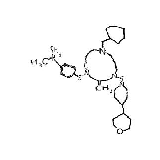 C=C1CN(Sc2ccc(N(C)C)cc2)CCCN(CC2CCCCC2)CCCN(SN2CCC(C3CCOCC3)CC2)C1